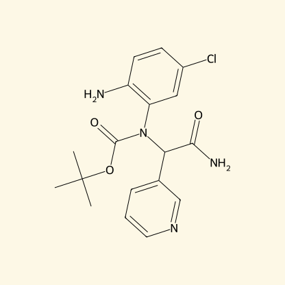 CC(C)(C)OC(=O)N(c1cc(Cl)ccc1N)C(C(N)=O)c1cccnc1